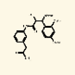 CCCCCC(c1ccc(OC)cc1OC)C(C(=O)Nc1cccc(CC(N)=O)c1)C(C)(C)C